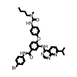 CCCCN(C)C(=O)Nc1ccc(Oc2ccc(C(=O)Nc3ccc(Br)cc3)cc2Nc2ncnc3nc(C(C)C)ccc23)cc1